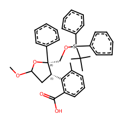 COC1C[C@@H](c2c(C)cccc2C(=O)O)[C@](CO[Si](c2ccccc2)(c2ccccc2)C(C)(C)C)(c2ccccc2)O1